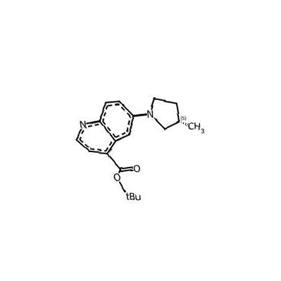 C[C@H]1CCN(c2ccc3nccc(C(=O)OC(C)(C)C)c3c2)C1